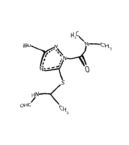 CCC(C)c1nc(SC(C)NC=O)n(C(=O)N(C)C)n1